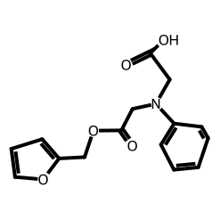 O=C(O)CN(CC(=O)OCc1ccco1)c1ccccc1